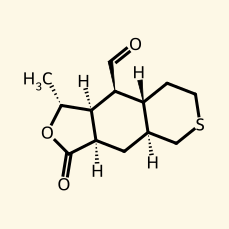 C[C@H]1OC(=O)[C@@H]2C[C@@H]3CSCC[C@H]3[C@H](C=O)[C@H]12